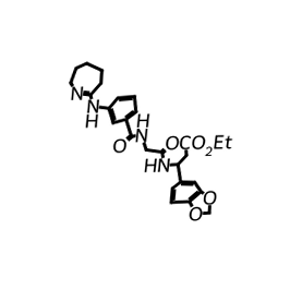 CCOC(=O)CC(NC(=O)CNC(=O)c1cccc(NC2=NCCCCC2)c1)c1ccc2c(c1)OCO2